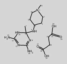 CN1CCC(NC2(C)N=C(N)N=C(N)N2)CC1.O=C(O)CCC(=O)O